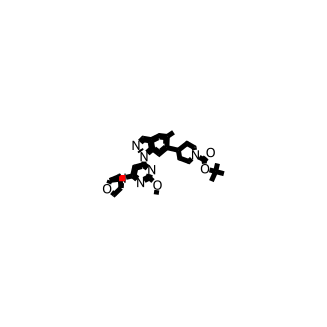 COc1nc(N2CC3CC2CO3)cc(-n2ncc3cc(C)c(C4CCN(C(=O)OC(C)(C)C)CC4)cc32)n1